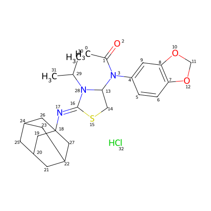 CC(=O)N(c1ccc2c(c1)OCO2)C1CSC(=NC23CC4CC(CC(C4)C2)C3)N1C(C)C.Cl